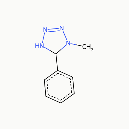 CN1N=NNC1c1ccccc1